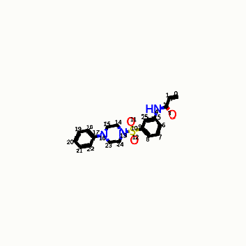 C=CC(=O)Nc1cccc(S(=O)(=O)N2CCN(c3ccccc3)CC2)c1